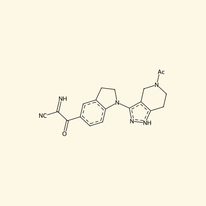 CC(=O)N1CCc2[nH]nc(N3CCc4cc(C(=O)C(=N)C#N)ccc43)c2C1